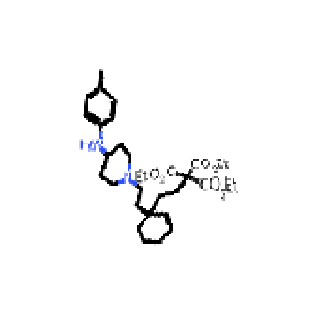 CCOC(=O)C(CCC1(CCN2CCC(Nc3ccc(C)cc3)CC2)CCCCC1)(C(=O)OCC)C(=O)OCC